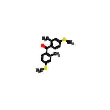 CSc1ccc(C(=O)c2ccc(SC)cc2C)c(C)c1